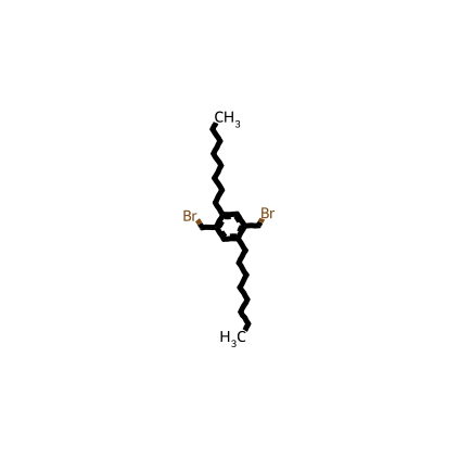 CCCCCCCCc1cc(CBr)c(CCCCCCCC)cc1CBr